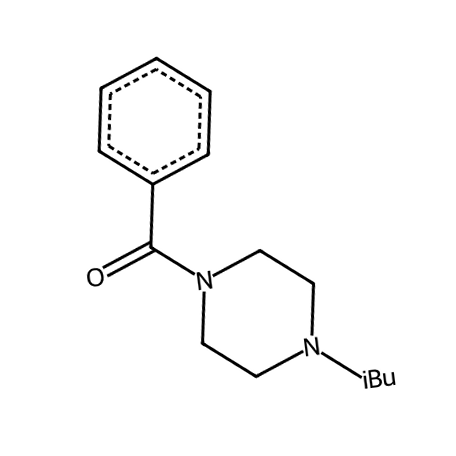 CCC(C)N1CCN(C(=O)c2ccccc2)CC1